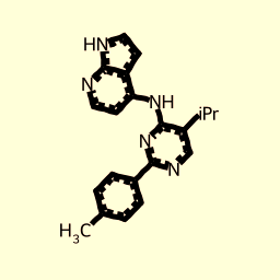 Cc1ccc(-c2ncc(C(C)C)c(Nc3ccnc4[nH]ccc34)n2)cc1